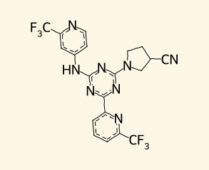 N#CC1CCN(c2nc(Nc3ccnc(C(F)(F)F)c3)nc(-c3cccc(C(F)(F)F)n3)n2)C1